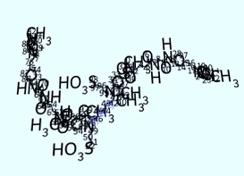 CN(CCCC(=O)NCC(=O)Nc1ccc(CC[N+]23CC[N+](C)(CC2)CC3)cc1)S(=O)(=O)c1ccc2c(c1)C(C)(C)C(/C=C/C=C/C=C1/N(CCCS(=O)(=O)O)c3ccc(S(=O)(=O)N(C)CCCC(=O)NCC(=O)Nc4ccc(CC[N+]56CC[N+](C)(CC5)CC6)cc4)cc3C1(C)C)=[N+]2CCCS(=O)(=O)O